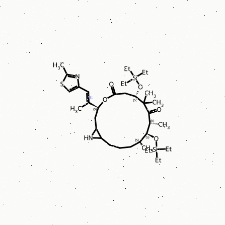 CC[Si](CC)(CC)O[C@H]1[C@@H](C)CCCC2NC2C[C@@H](/C(C)=C/c2csc(C)n2)OC(=O)C[C@H](O[Si](CC)(CC)CC)C(C)(C)C(=O)[C@@H]1C